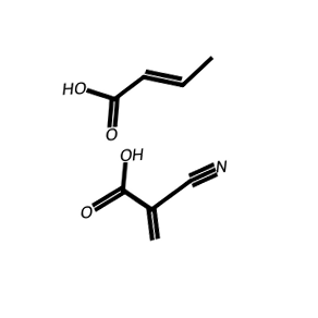 C/C=C/C(=O)O.C=C(C#N)C(=O)O